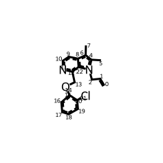 C=CCn1c(C)c(C)c2ccnc(COc3ccccc3Cl)c21